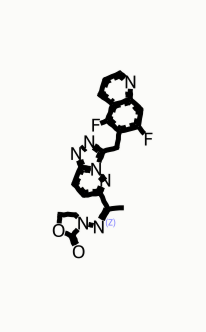 C/C(=N/N1CCOC1=O)c1ccc2nnc(Cc3c(F)cc4ncccc4c3F)n2n1